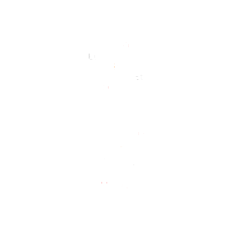 CCP(=O)(CC)OCCP(=O)(C(=O)c1c(C)cc(C)cc1C)C(=O)c1c(C)cc(C)cc1C